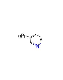 [CH]CCc1cccnc1